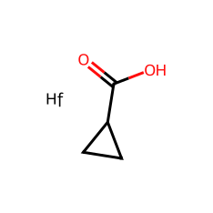 O=C(O)C1CC1.[Hf]